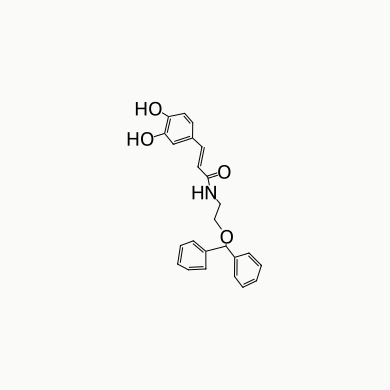 O=C(C=Cc1ccc(O)c(O)c1)NCCOC(c1ccccc1)c1ccccc1